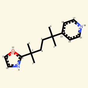 CC(C)(CCC(C)(C)c1ncco1)c1ccncc1